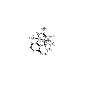 C=C1CC=CC2=C1C(C)(C)[C@@]1(C)[N+](C(C)C)=C(C(C)C)O[C@@]21C